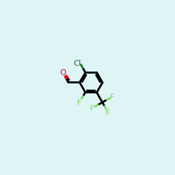 O=Cc1c(Cl)ccc(C(F)(F)F)c1F